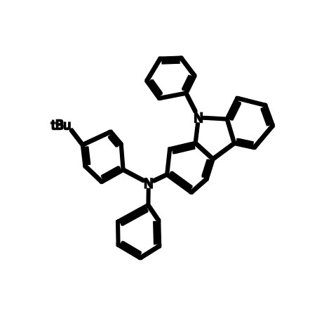 CC(C)(C)c1ccc(N(c2ccccc2)c2ccc3c4ccccc4n(-c4ccccc4)c3c2)cc1